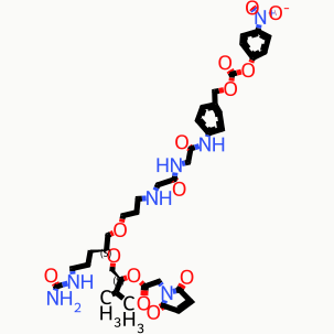 CC(C)[C@@H](CO[C@@H](CCCNC(N)=O)COCCCNCC(=O)NCC(=O)Nc1ccc(COC(=O)Oc2ccc([N+](=O)[O-])cc2)cc1)OC(=O)CN1C(=O)C=CC1=O